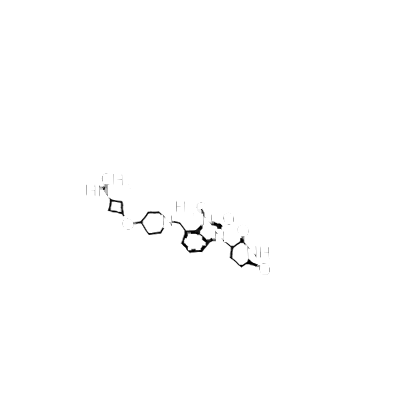 CNC1CC(OC2CCN(Cc3cccc4c3n(C)c(=O)n4C3CCC(=O)NC3=O)CC2)C1